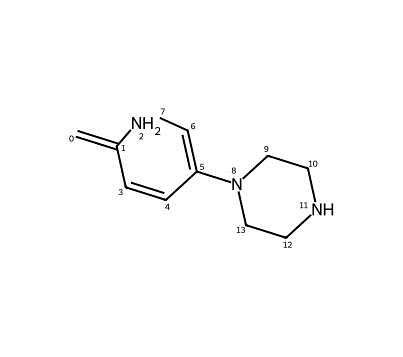 C=C(N)/C=C\C(=C/C)N1CCNCC1